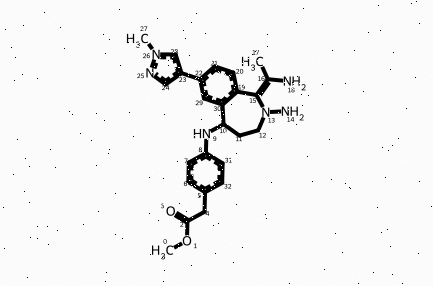 COC(=O)Cc1ccc(NC2CCN(N)/C(=C(/C)N)c3ccc(-c4cnn(C)c4)cc32)cc1